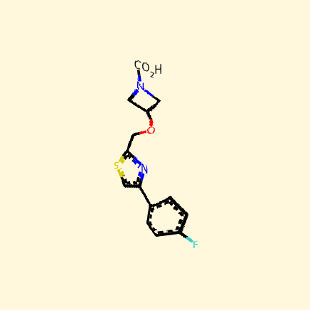 O=C(O)N1CC(OCc2nc(-c3ccc(F)cc3)cs2)C1